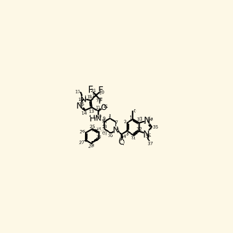 Cc1cc(C(=O)N2CC[C@@H](NC(=O)c3cnn(C)c3C(F)(F)F)[C@@H](c3ccccc3)C2)cc2c1ncn2C